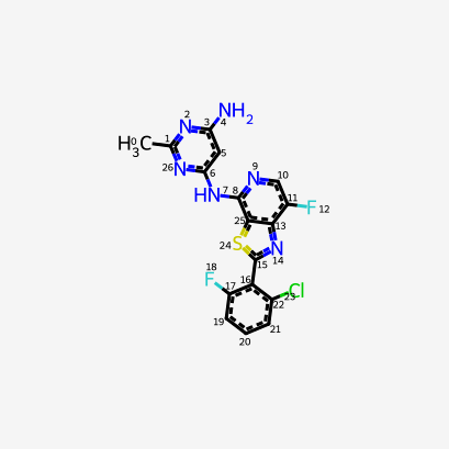 Cc1nc(N)cc(Nc2ncc(F)c3nc(-c4c(F)cccc4Cl)sc23)n1